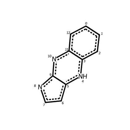 c1ccc2[nH]c3ccnc-3nc2c1